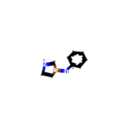 C1=CS(=Nc2ccccc2)C=N1